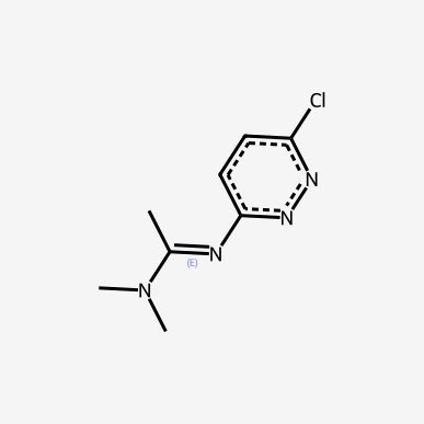 C/C(=N\c1ccc(Cl)nn1)N(C)C